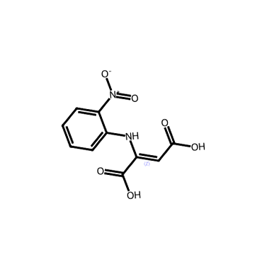 O=C(O)/C=C(\Nc1ccccc1[N+](=O)[O-])C(=O)O